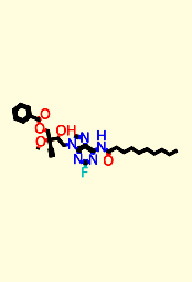 C#CC(COC(=O)c1ccccc1)(OC)[C@@H](O)Cn1cnc2c(NC(=O)CCCCCCCCC)nc(F)nc21